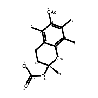 CC(=O)Oc1c(C)c(C)c2c(c1C)CC[C@@](C)(OC(=O)Cl)O2